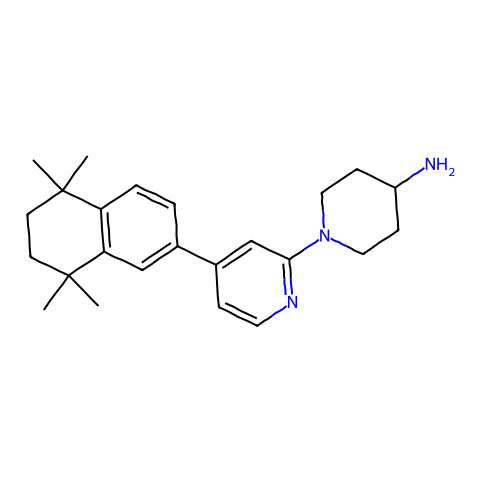 CC1(C)CCC(C)(C)c2cc(-c3ccnc(N4CCC(N)CC4)c3)ccc21